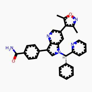 Cc1noc(C)c1-c1cnc2c(-c3ccc(C(N)=O)cc3)cn([C@@H](c3ccccc3)c3ccccn3)c2c1